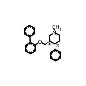 CN1CC[C@H](c2ccccc2)[C@@H](COc2ccccc2-c2ccccc2)C1